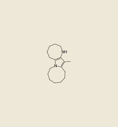 Cc1c2c(n3c1CCCCCCC3)CCCCCN2